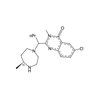 CCCC(c1nc2ccc(Cl)cc2c(=O)n1C)N1CCN[C@@H](C)CC1